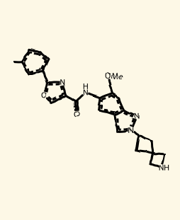 COc1cc2nn(C3CC4(CNC4)C3)cc2cc1NC(=O)c1coc(-c2cccc(C)c2)n1